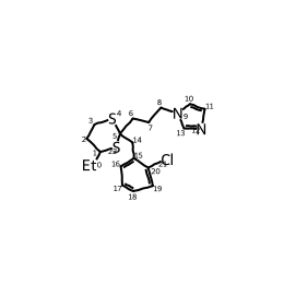 CCC1CCSC(CCCn2ccnc2)(Cc2ccccc2Cl)S1